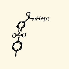 CCCCCCCC(=O)c1ccn(S(=O)(=O)c2ccc(C)cc2)c1